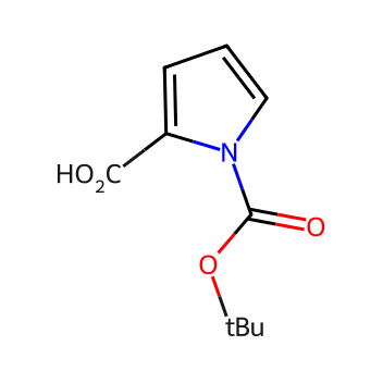 CC(C)(C)OC(=O)n1cccc1C(=O)O